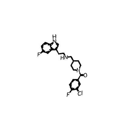 O=C(c1ccc(F)c(Cl)c1)N1CCC(CNCCc2c[nH]c3ccc(F)cc23)CC1